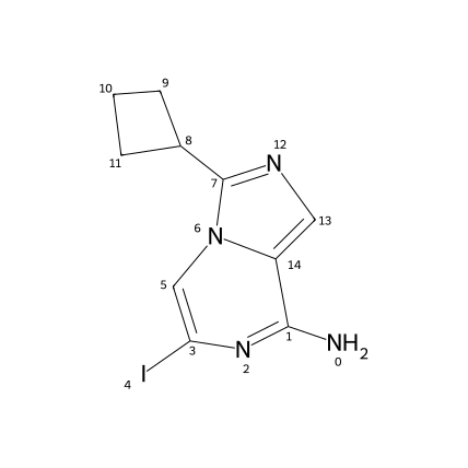 Nc1nc(I)cn2c(C3CCC3)ncc12